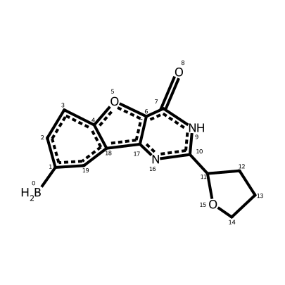 Bc1ccc2oc3c(=O)[nH]c(C4CCCO4)nc3c2c1